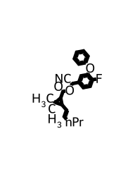 CCCC=CC1C(C(=O)OC(C#N)c2ccc(F)c(Oc3ccccc3)c2)C1(C)C